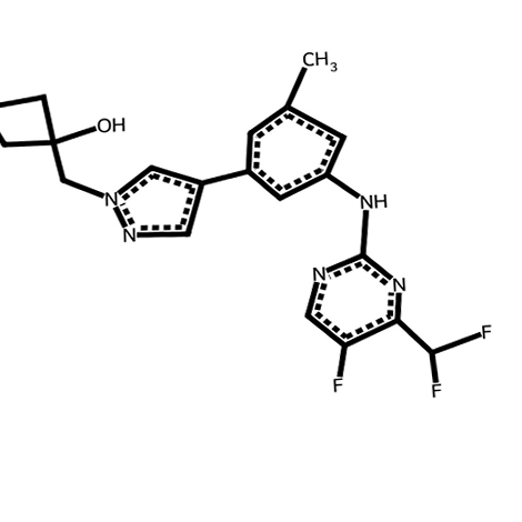 Cc1cc(Nc2ncc(F)c(C(F)F)n2)cc(-c2cnn(CC3(O)CCC3)c2)c1